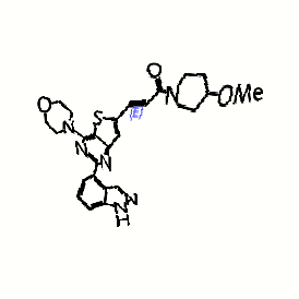 COC1CCN(C(=O)/C=C/c2cc3nc(-c4cccc5[nH]ncc45)nc(N4CCOCC4)c3s2)CC1